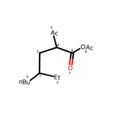 CCCCC(CC)CC(C(C)=O)C(=O)OC(C)=O